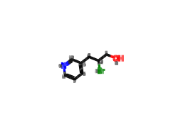 OCC(Br)Cc1cccnc1